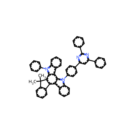 CC1(C)c2ccccc2-c2c1c1c(c3ccccc3n1-c1ccccc1)c1c2c2ccccc2n1-c1ccc(-c2cc(-c3ccccc3)nc(-c3ccccc3)n2)cc1